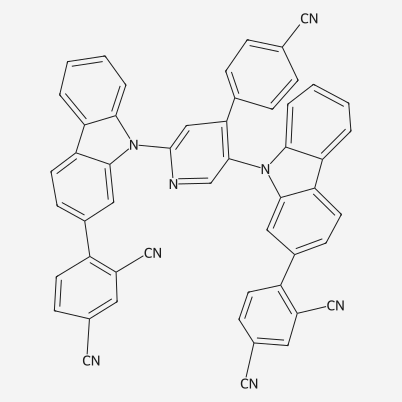 N#Cc1ccc(-c2cc(-n3c4ccccc4c4ccc(-c5ccc(C#N)cc5C#N)cc43)ncc2-n2c3ccccc3c3ccc(-c4ccc(C#N)cc4C#N)cc32)cc1